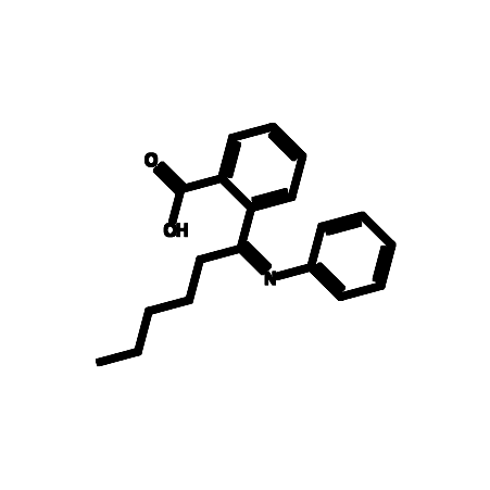 CCCCCC(=Nc1ccccc1)c1ccccc1C(=O)O